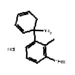 CCCCCCc1cccc(C2(N)C=CC=CC2)c1C.Cl